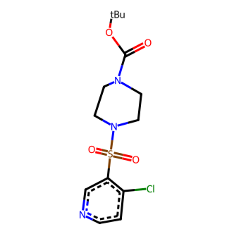 CC(C)(C)OC(=O)N1CCN(S(=O)(=O)c2cnccc2Cl)CC1